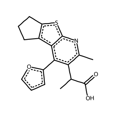 Cc1nc2sc3c(c2c(-c2ccco2)c1C(C)C(=O)O)CCC3